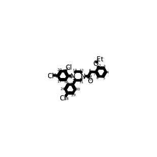 CCOc1ccccc1CC(=O)N1CCN(c2ccc(Cl)cc2Cl)C(c2ccc(Cl)cc2)C1